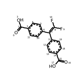 O=C(O)c1ccc(C(=C(F)F)c2ccc(C(=O)O)cc2)cc1